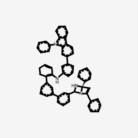 C1=CC(Nc2cccc(-c3ccc4c5ccccc5n(-c5ccccc5)c4c3)c2)=C(c2cccc(-c3cccc(C4N[C@]5(c6ccccc6)C=C(c6ccccc6)N45)c3)c2)CC1